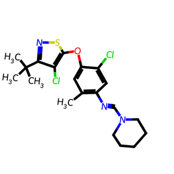 Cc1cc(Oc2snc(C(C)(C)C)c2Cl)c(Cl)cc1N=CN1CCCCC1